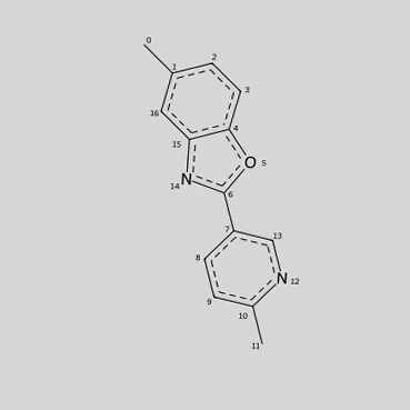 Cc1ccc2oc(-c3ccc(C)nc3)nc2c1